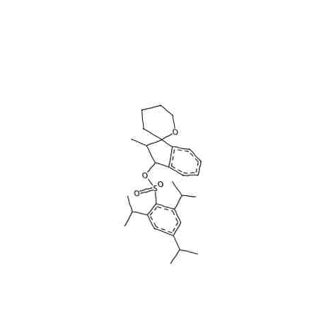 CC(C)c1cc(C(C)C)c(S(=O)(=O)OC2c3ccccc3C3(CCCCO3)C2C)c(C(C)C)c1